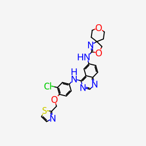 Clc1cc(Nc2ncnc3ccc(NC4=NC5(CCOCC5)CO4)cc23)ccc1OCc1nccs1